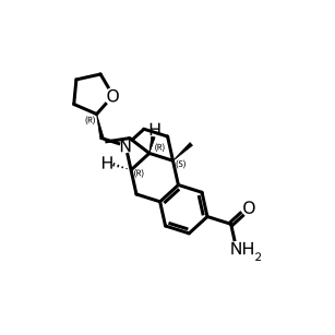 CC[C@H]1[C@H]2Cc3ccc(C(N)=O)cc3[C@@]1(C)CCN2C[C@H]1CCCO1